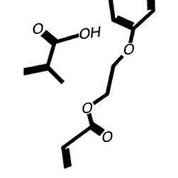 C=C(C)C(=O)O.C=CC(=O)OCCOc1ccccc1